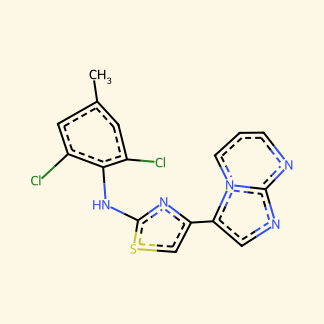 Cc1cc(Cl)c(Nc2nc(-c3cnc4ncccn34)cs2)c(Cl)c1